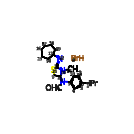 Br.CC(C)c1ccc(N(C=O)C2CSC(=NC3CCCCCC3)N2C)cc1